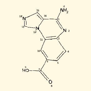 Nc1nc2ccc(C(=O)O)cc2n2cncc12